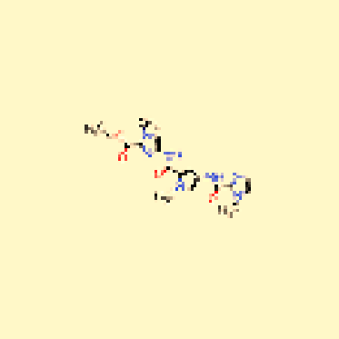 CCOC(=O)c1nc(NC(=O)c2cc(NC(=O)c3nccn3C)cn2C)cn1C